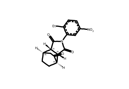 CCc1ccc([N+](=O)[O-])cc1N1C(=O)[C@H]2[C@@H]3CC[C@@H](C(=O)C3)[C@H]2C1=O